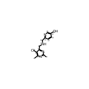 Cc1nc(C)c(Cl)c(CNCc2ccc(O)cn2)n1